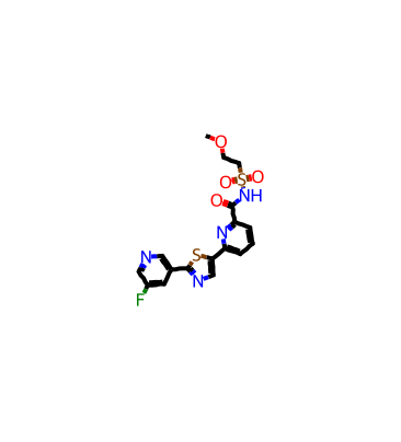 COCCS(=O)(=O)NC(=O)c1cccc(-c2cnc(-c3cncc(F)c3)s2)n1